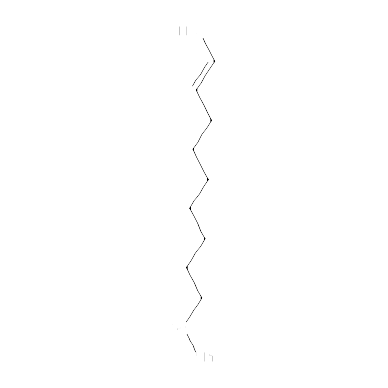 CC=CCCCCCCC[Se]CCC